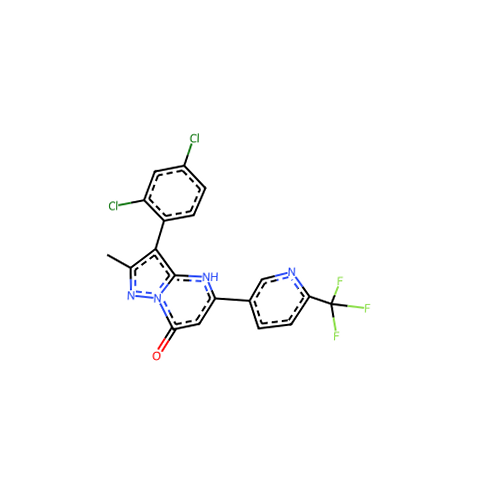 Cc1nn2c(=O)cc(-c3ccc(C(F)(F)F)nc3)[nH]c2c1-c1ccc(Cl)cc1Cl